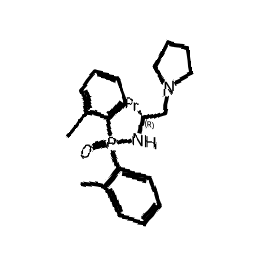 Cc1ccccc1P(=O)(N[C@@H](CN1CCCC1)C(C)C)c1ccccc1C